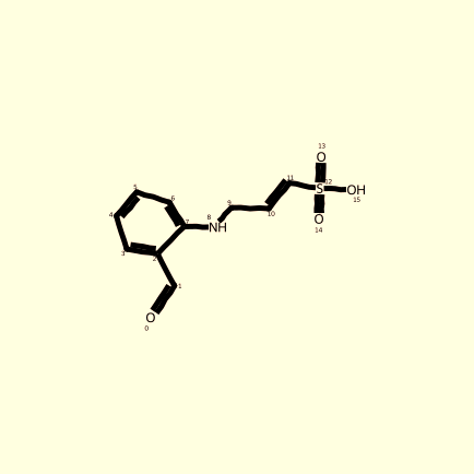 O=Cc1ccccc1NCC=CS(=O)(=O)O